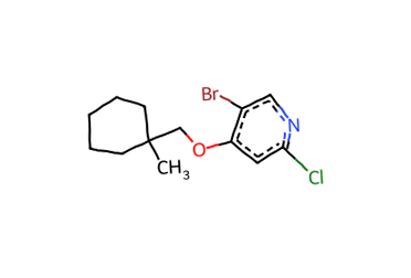 CC1(COc2cc(Cl)ncc2Br)CCCCC1